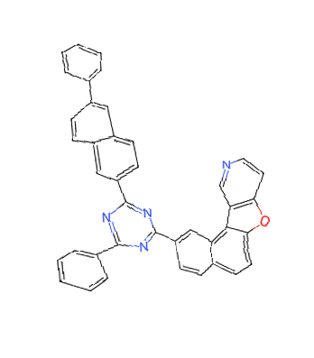 c1ccc(-c2ccc3cc(-c4nc(-c5ccccc5)nc(-c5ccc6ccc7oc8ccncc8c7c6c5)n4)ccc3c2)cc1